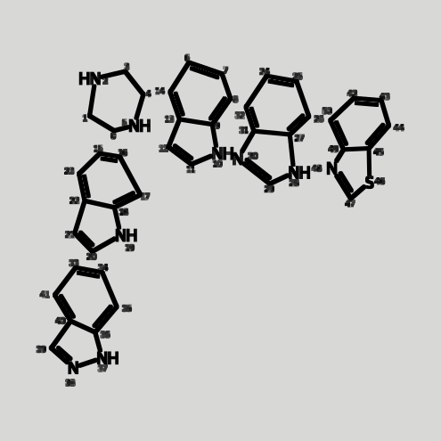 C1CNCCN1.c1ccc2[nH]ccc2c1.c1ccc2[nH]ccc2c1.c1ccc2[nH]cnc2c1.c1ccc2[nH]ncc2c1.c1ccc2scnc2c1